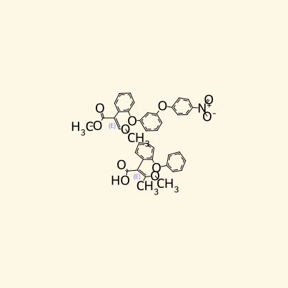 CO/C(C)=C(/C(=O)O)c1ccccc1Oc1ccccc1.CO/C=C(/C(=O)OC)c1ccccc1Oc1cccc(Oc2ccc([N+](=O)[O-])cc2)c1